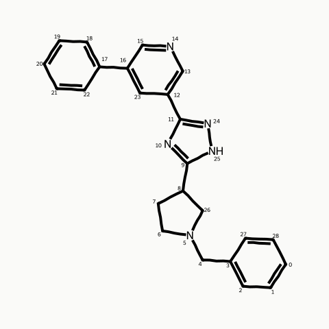 c1ccc(CN2CCC(c3nc(-c4cncc(-c5ccccc5)c4)n[nH]3)C2)cc1